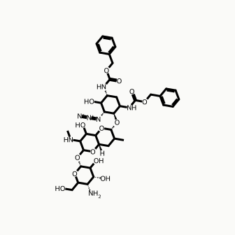 CNC1C(O[C@H]2OC(CO)[C@@H](N)[C@@H](O)C2O)O[C@H]2CC(C)[C@@H](O[C@@H]3C(NC(=O)OCc4ccccc4)C[C@@H](NC(=O)OCc4ccccc4)C(O)[C@H]3N=[N+]=[N-])OC2C1O